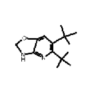 CC(C)(C)c1cc2c(nc1C(C)(C)C)NCO2